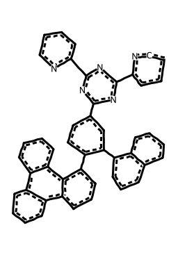 c1ccc(-c2nc(-c3ccc(-c4cccc5c6ccccc6c6ccccc6c45)c(-c4cccc5ccccc45)c3)nc(-c3ccccn3)n2)nc1